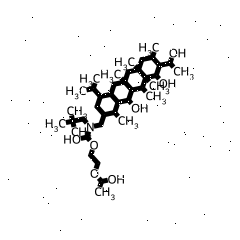 CC(O)OCCOC(O)N(CC1CC(C(C)C)C2CC3(C)CC4(C)CC(C)C(C(C)O)C(O)C4(C)C(C)C3C(O)C2C1C)CC(C)(C)C